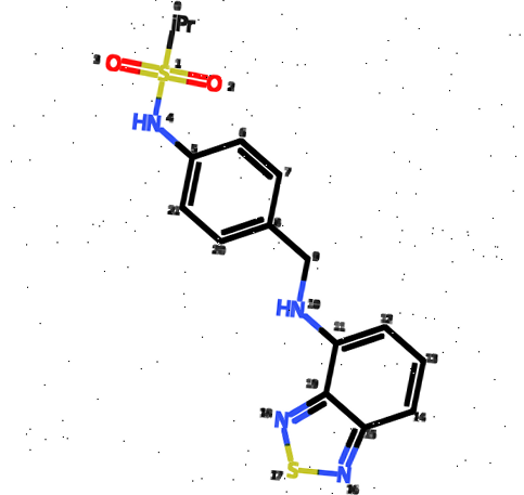 CC(C)S(=O)(=O)Nc1ccc(CNc2cccc3nsnc23)cc1